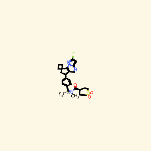 CN(C(=O)C1CCS(=O)(=O)CC1)[C@@H](c1ccc(C2CC3(CCC3)c3c2cnc2cc(F)nn32)cc1)C(F)(F)F